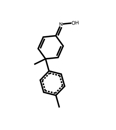 Cc1ccc(C2(C)C=CC(=NO)C=C2)cc1